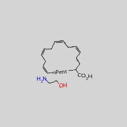 CCCCC/C=C\C/C=C\C/C=C\C/C=C\CCC(C)C(=O)O.NCCO